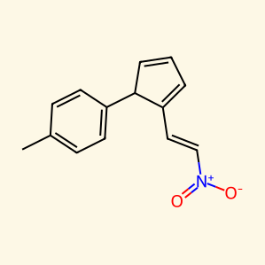 Cc1ccc(C2C=CC=C2/C=C/[N+](=O)[O-])cc1